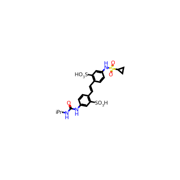 CC(C)NC(=O)Nc1ccc(/C=C/c2ccc(NS(=O)(=O)C3CC3)cc2S(=O)(=O)O)c(S(=O)(=O)O)c1